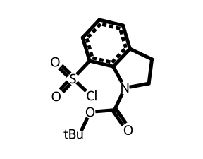 CC(C)(C)OC(=O)N1CCc2cccc(S(=O)(=O)Cl)c21